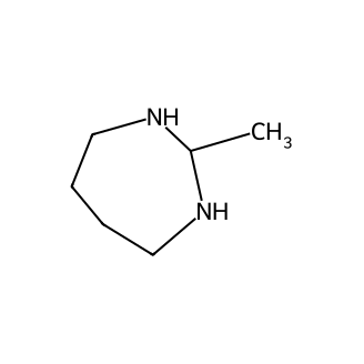 CC1NCCCCN1